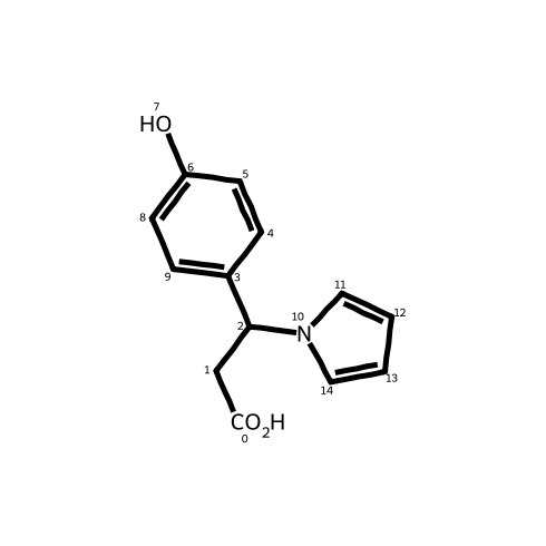 O=C(O)CC(c1ccc(O)cc1)n1cccc1